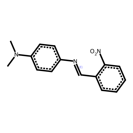 CN(C)c1ccc(/N=C/c2ccccc2[N+](=O)[O-])cc1